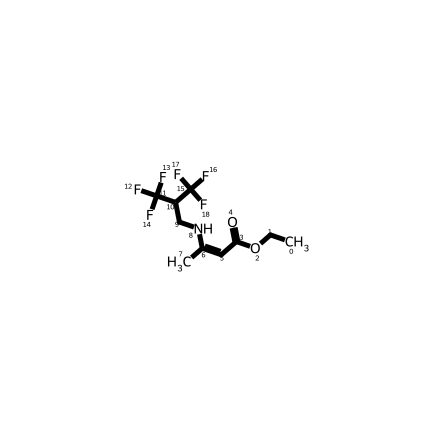 CCOC(=O)/C=C(/C)NCC(C(F)(F)F)C(F)(F)F